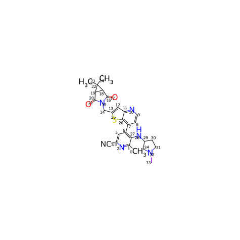 Cc1nc(C#N)cc(-c2ccnc3cc(CN4C(=O)C5C(C4=O)C5(C)C)sc23)c1NC1CCN(I)C1